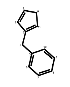 [CH]1C=CC(Cc2ccccc2)=C1